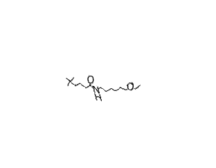 CCOCCCCCCNC(=O)CCCC(C)(C)C